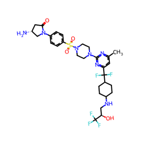 Cc1cc(C(F)(F)C2CCC(NC[C@@H](O)C(F)(F)F)CC2)nc(N2CCN(S(=O)(=O)c3ccc(N4C[C@H](N)CC4=O)cc3)CC2)n1